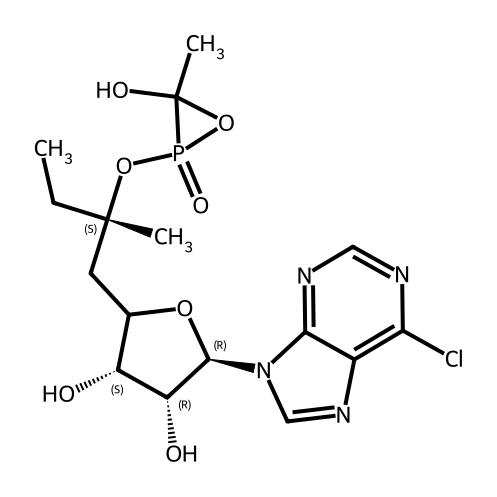 CC[C@@](C)(CC1O[C@@H](n2cnc3c(Cl)ncnc32)[C@H](O)[C@@H]1O)OP1(=O)OC1(C)O